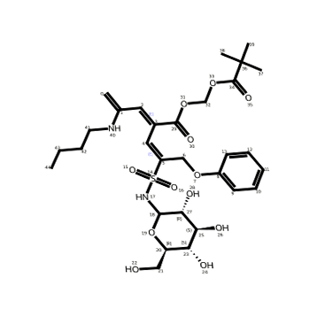 C=C(/C=C(\C=C(/COc1ccccc1)S(=O)(=O)NC1O[C@H](CO)[C@@H](O)[C@H](O)[C@H]1O)C(=O)OCOC(=O)C(C)(C)C)NCCCC